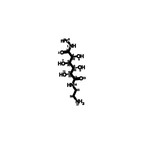 CCCNC(=O)[C@@H](O)[C@H](O)[C@H](O)[C@@H](O)C(=O)NCCN